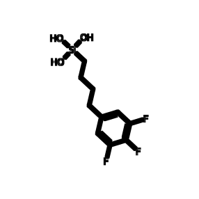 O[Si](O)(O)CCCCc1cc(F)c(F)c(F)c1